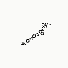 COC(=O)COc1ccc(SCc2ccc(OCc3ccc(C(C)(C)C)cc3)cc2)c2c1CCC2